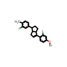 CCOc1ccc(C2=CCC3C2CCC3c2ccc(C)c(F)c2)c(F)c1